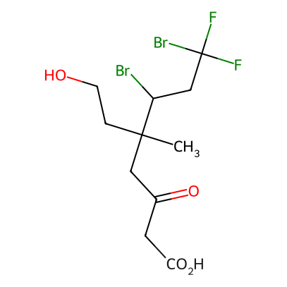 CC(CCO)(CC(=O)CC(=O)O)C(Br)CC(F)(F)Br